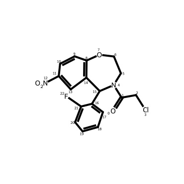 O=C(CCl)N1CCOc2ccc([N+](=O)[O-])cc2C1c1ccccc1F